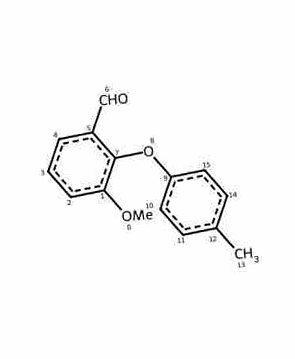 COc1cccc(C=O)c1Oc1ccc(C)cc1